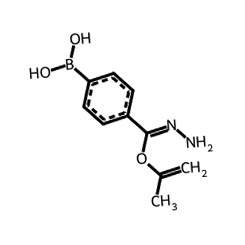 C=C(C)O/C(=N\N)c1ccc(B(O)O)cc1